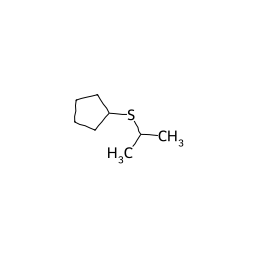 CC(C)SC1CCCC1